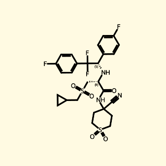 N#CC1(NC(=O)[C@H](CS(=O)(=O)CC2CC2)N[C@@H](c2ccc(F)cc2)C(F)(F)c2ccc(F)cc2)CCS(=O)(=O)CC1